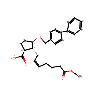 COC(=O)CCC/C=C\C[C@H]1[C@@H](OCc2ccc(-c3ccccc3)cc2)CC[C@@H]1C(=O)O